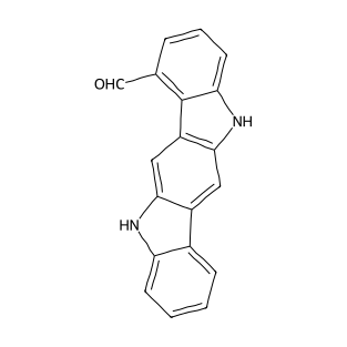 O=Cc1cccc2[nH]c3cc4c(cc3c12)[nH]c1ccccc14